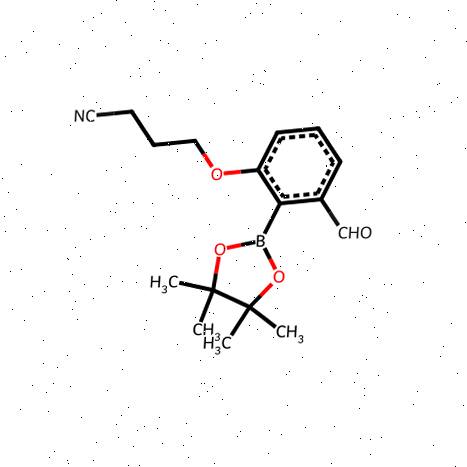 CC1(C)OB(c2c(C=O)cccc2OCCCC#N)OC1(C)C